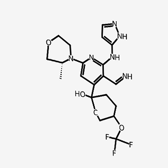 C[C@@H]1COCCN1c1cc(C2(O)CCC(OC(F)(F)F)CC2)c(C=N)c(Nc2ccn[nH]2)n1